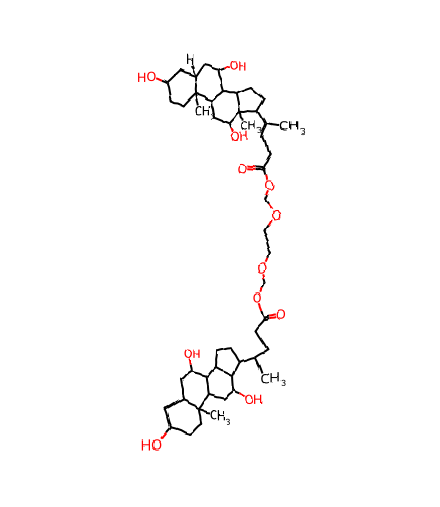 CC(CCC(=O)OCOCCOCOC(=O)CCC(C)C1CCC2C3C(O)C[C@H]4CC(O)CCC4(C)C3CC(O)C12C)C1CCC2C1C(O)CC1C2C(O)CC2CC(O)CCC21C